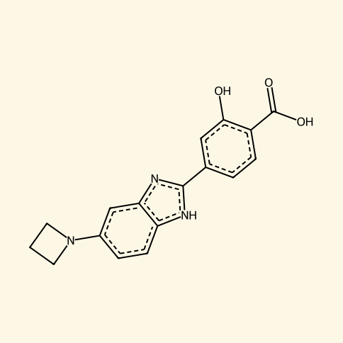 O=C(O)c1ccc(-c2nc3cc(N4CCC4)ccc3[nH]2)cc1O